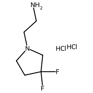 Cl.Cl.NCCN1CCC(F)(F)C1